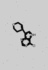 Clc1ncnc2c(C3=CCOCC3)c[nH]c12